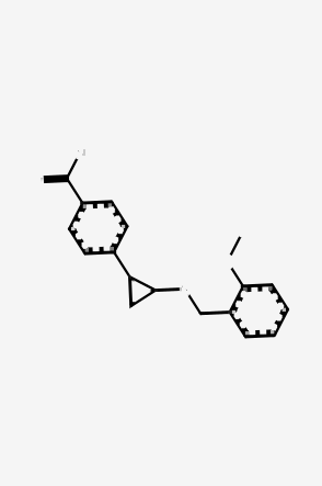 COc1ccccc1CNC1CC1c1ccc(C(N)=O)cc1